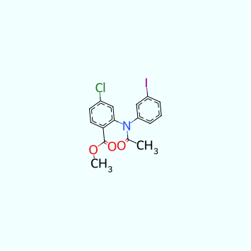 COC(=O)c1ccc(Cl)cc1N(C(C)=O)c1cccc(I)c1